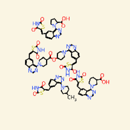 CC1CCN(c2ncnc3ccc(C=C4SC(=O)NC4=O)cc23)CC1.O=C1NC(=O)C(=Cc2ccc3ncnc(N4CCC(OC(=O)C5CCN(c6ncnc7ccc(C=C8SC(=O)NC8=O)cc67)CC5)CC4)c3c2)S1.O=C1NC(=O)C(=Cc2ccc3ncnc(N4CCCC(C(=O)O)C4)c3c2)S1.O=C1NC(=O)C(=Cc2ccc3ncnc(N4CCCC4C(=O)O)c3c2)S1